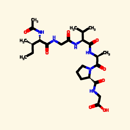 CC[C@H](C)[C@H](NC(C)=O)C(=O)NCC(=O)N[C@H](C(=O)N[C@@H](C)C(=O)N1CCC[C@H]1C(=O)NCC(=O)O)C(C)C